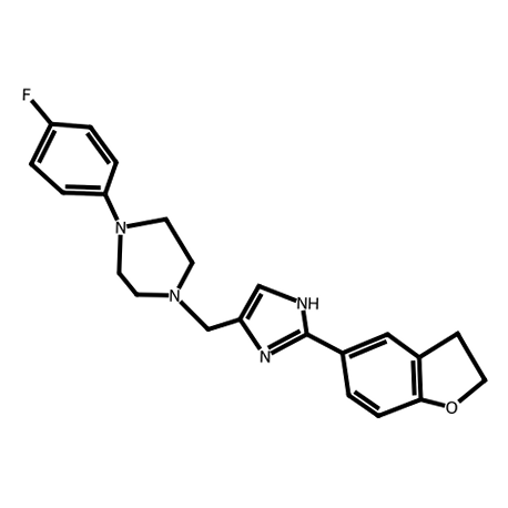 Fc1ccc(N2CCN(Cc3c[nH]c(-c4ccc5c(c4)CCO5)n3)CC2)cc1